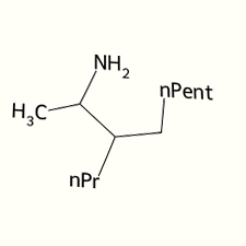 CCCCCCC(CCC)C(C)N